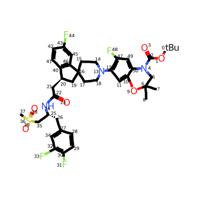 CC(C)(C)OC(=O)N1CC(C)(C)Oc2cc(N3CCC4(CC3)C[C@@H](CC(=O)N[C@H](Cc3ccc(F)c(F)c3)CS(C)(=O)=O)c3ccc(F)cc34)c(F)cc21